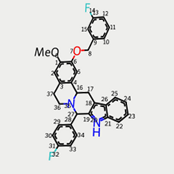 COc1cc2c(cc1OCc1cccc(F)c1)C1Cc3c([nH]c4ccccc34)C(c3ccc(F)cc3)N1CC2